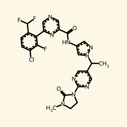 CC(c1cnc(N2CCN(C)C2=O)nc1)n1cc(NC(=O)c2cncc(-c3c(C(F)F)ccc(Cl)c3F)n2)cn1